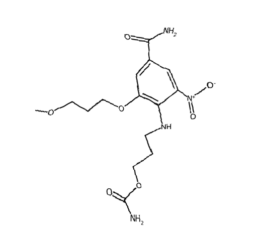 COCCCOc1cc(C(N)=O)cc([N+](=O)[O-])c1NCCCOC(N)=O